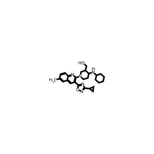 Cc1ccc2nc(N3CCC(NC4CCCCC4)C(CO)C3)c(-c3nc(C4CC4)no3)cc2c1